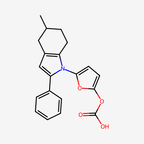 CC1CCc2c(cc(-c3ccccc3)n2-c2ccc(OC(=O)O)o2)C1